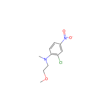 COCCN(C)c1ccc([N+](=O)[O-])cc1Cl